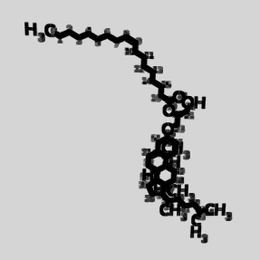 CCCCCCCC/C=C\CCCCCCCC(=O)OC(CO)CO[C@H]1CC[C@@]2(C)C(=CC[C@H]3[C@@H]4CC[C@H]([C@H](C)CCCC(C)C)[C@@]4(C)CC[C@@H]32)C1